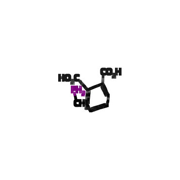 CP.O=C(O)c1ccccc1C(=O)O